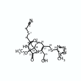 CO[C@@]1(NC(=O)CSCC#N)C(=O)N2C(CO)=C(CSc3nnnn3C)CS[C@H]21